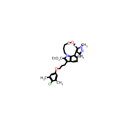 CCOC(=O)c1c(CCCOc2cc(C)c(Cl)c(C)c2)c2ccc(C)c3c2n1CCCCOCc1c-3c(CC)nn1C